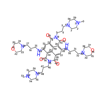 CN1CCN(CCCN2C(=O)c3cc(NCCCN4CCOCC4)c4c5c(cc(NCCCN6CCOCC6)c(c35)C2=O)C(=O)N(CCCN2CCN(C)CC2)C4=O)CC1